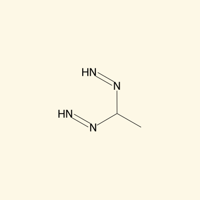 CC(N=N)N=N